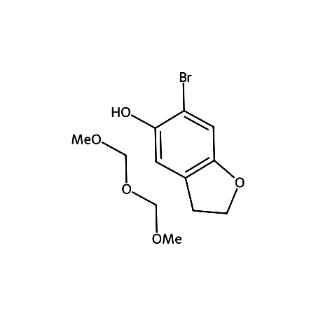 COCOCOC.Oc1cc2c(cc1Br)OCC2